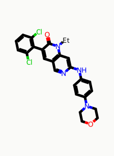 CCn1c(=O)c(-c2c(Cl)cccc2Cl)cc2cnc(Nc3ccc(N4CCOCC4)cc3)cc21